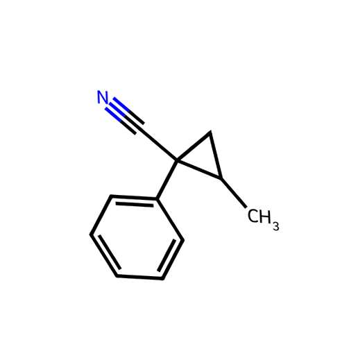 CC1CC1(C#N)c1ccccc1